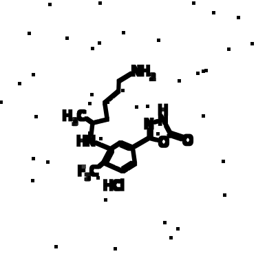 CC(CCCCN)Nc1cc(-c2n[nH]c(=O)o2)ccc1C(F)(F)F.Cl